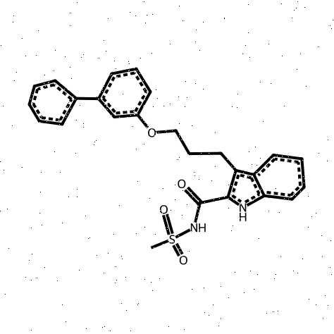 CS(=O)(=O)NC(=O)c1[nH]c2ccccc2c1CCCOc1cccc(-c2ccccc2)c1